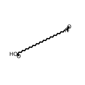 O=C=NCCCCCCCCCCCCCCCCCCCCCCCCCCCC(=O)O